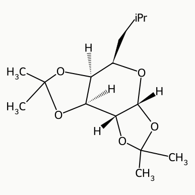 CC(C)C[C@H]1O[C@@H]2OC(C)(C)O[C@@H]2[C@H]2OC(C)(C)O[C@H]21